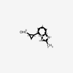 Cc1nc2cccc(C3CC3C=O)n2n1